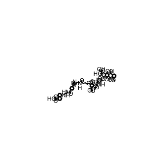 COc1cc(C(C)OC(=O)NC2C[C@H](OC3C[C@](O)(C(=O)CO)Cc4c(O)c5c(c(O)c43)C(=O)c3c(OC)cccc3C5=O)O[C@@H](C)[C@H]2O)c([N+](=O)[O-])cc1OCCCC(=O)NCc1cn(-c2ccc(C(=O)NCCNc3cccc4c(S(=O)(=O)O)cccc34)cc2)nn1